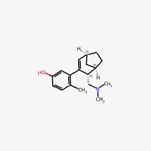 Cc1ccc(O)cc1C1=C[C@H]2CC[C@H](C2)[C@@H]1CN(C)C